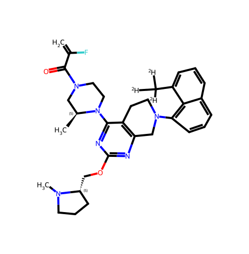 [2H]C([2H])([2H])c1cccc2cccc(N3CCc4c(nc(OC[C@@H]5CCCN5C)nc4N4CCN(C(=O)C(=C)F)C[C@@H]4C)C3)c12